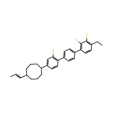 C/C=C/C1CCCC(c2ccc(-c3ccc(-c4ccc(CC)c(F)c4F)cc3)c(F)c2)CCC1